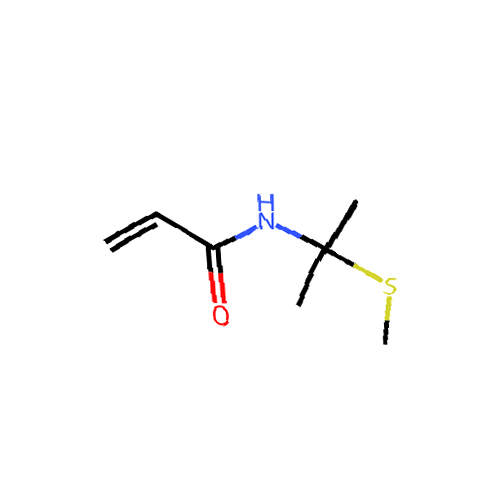 C=CC(=O)NC(C)(C)SC